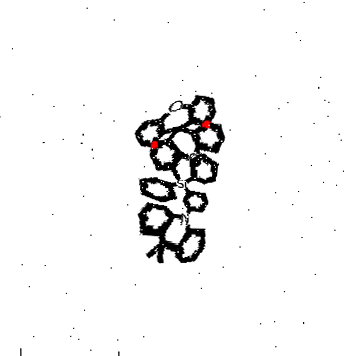 CC1(C)c2ccccc2N(c2cccc([Si](c3ccccc3)(c3ccccc3)c3cccc4c3Oc3ccccc3C43c4ccccc4Oc4ccccc43)c2)c2ccccc21